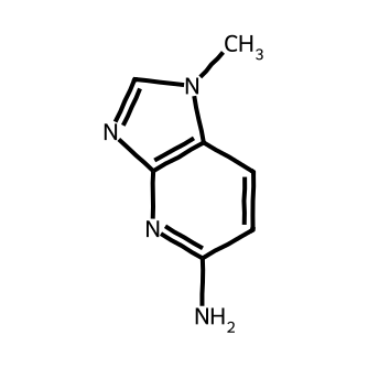 Cn1cnc2nc(N)ccc21